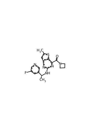 Cc1cc2nc(N[C@@H](C)c3cncc(F)c3)nc(C(=O)N3CCC3)c2s1